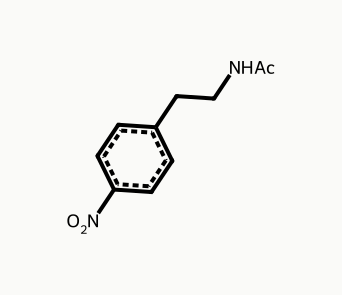 CC(=O)NCCc1ccc([N+](=O)[O-])cc1